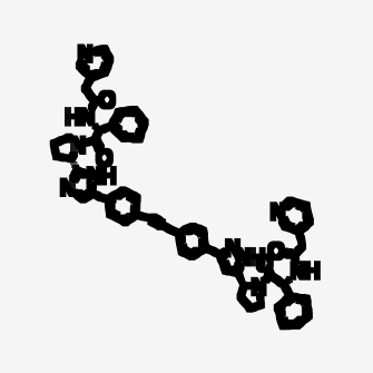 O=C(Cc1cccnc1)N[C@@H](C(=O)N1CCC[C@H]1c1cc(-c2ccc(C#Cc3ccc(-c4cnc([C@@H]5CCCN5C(=O)[C@H](NC(=O)Cc5cccnc5)c5ccccc5)[nH]4)cc3)cc2)n[nH]1)c1ccccc1